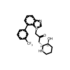 O=C(C[C@H]1NCCC[C@@H]1O)Cn1cnc2cccc(-c3cccc(C(F)(F)F)c3)c21